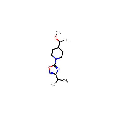 CO[C@@H](C)C1CCN(c2nc(C(C)C)no2)CC1